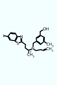 C=CCCN(Cc1cc(C)cc(CO)c1)[C@@H](C)CCc1nc2ccc(I)cc2s1